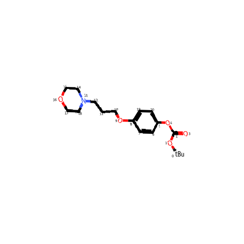 CC(C)(C)OC(=O)Oc1ccc(OCCCN2CCOCC2)cc1